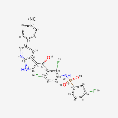 [C-]#[N+]c1ccc(-c2cnc3[nH]cc(C(=O)c4c(F)ccc(NS(=O)(=O)c5cccc(F)c5)c4F)c3c2)cc1